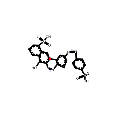 COc1cc(/N=N\c2ccc(S(=O)(=O)O)cc2)ccc1/N=N\c1ccc2c(S(=O)(=O)O)cccc2c1O